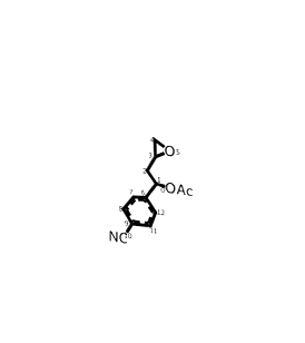 CC(=O)OC(CC1CO1)c1ccc(C#N)cc1